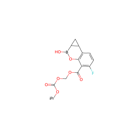 CC(C)OC(=O)OCOC(=O)c1c(F)ccc2c1OB(O)C1CC21